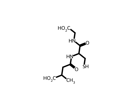 CC(CC(=O)NC(CS)C(=O)NCC(=O)O)C(=O)O